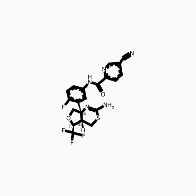 N#Cc1ccc(C(=O)Nc2ccc(F)c([C@]34CO[C@H](C(F)(F)F)[C@H]3CSC(N)=N4)c2)nc1